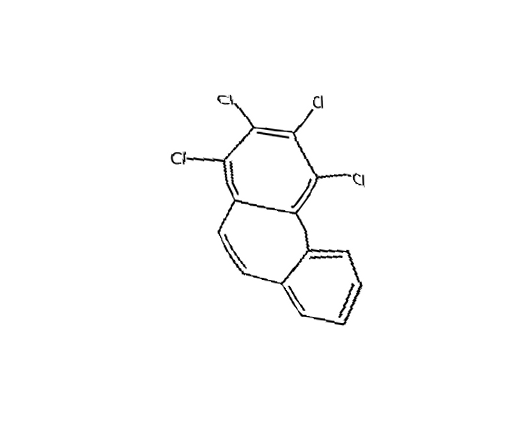 Clc1c(Cl)c(Cl)c2c(ccc3ccccc32)c1Cl